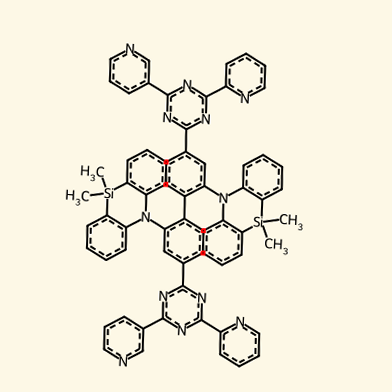 C[Si]1(C)c2ccccc2N(c2cc(-c3nc(-c4cccnc4)nc(-c4ccccn4)n3)ccc2-c2ccc(-c3nc(-c4cccnc4)nc(-c4ccccn4)n3)cc2N2c3ccccc3[Si](C)(C)c3ccccc32)c2ccccc21